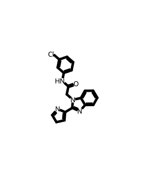 O=C(Cn1c(C2=CCC=N2)nc2ccccc21)Nc1cccc(Cl)c1